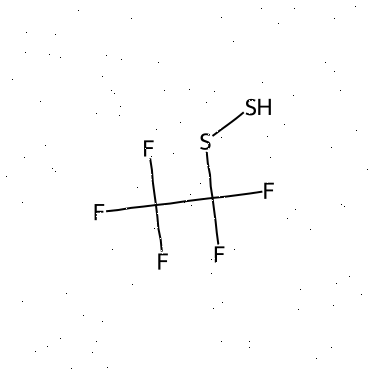 FC(F)(F)C(F)(F)SS